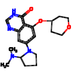 CN(C)C1CCCN1c1cc(OC2CCOCC2)c2c(=O)[nH]cnc2c1